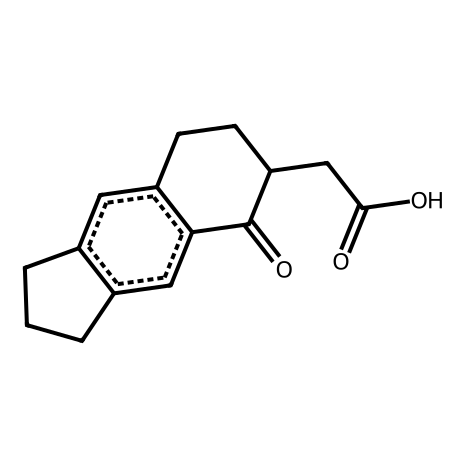 O=C(O)CC1CCc2cc3c(cc2C1=O)CCC3